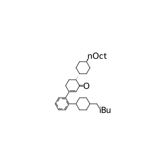 CCCCCCCC[C@H]1CC[C@H](C2CCC(c3ccccc3C3CCC(CC(C)CC)CC3)=CC2=O)CC1